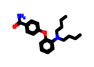 CCCCN(CCCC)c1ccccc1Oc1ccc(C(N)=O)cc1